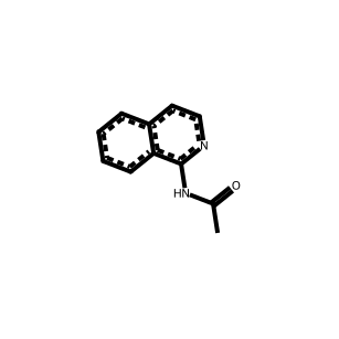 CC(=O)Nc1nccc2ccccc12